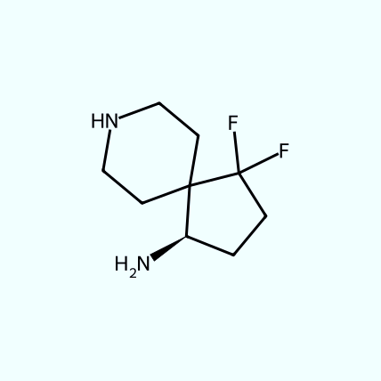 N[C@@H]1CCC(F)(F)C12CCNCC2